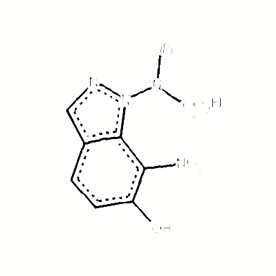 CC(C)N(C(=O)O)n1ncc2ccc(O)c([N+](=O)[O-])c21